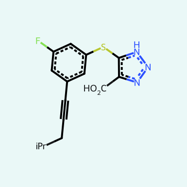 CC(C)CC#Cc1cc(F)cc(Sc2[nH]nnc2C(=O)O)c1